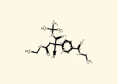 CCOC(=O)CC(C#N)(C(=O)OC(C)(C)C)c1ccc(C(=O)OCC)cn1